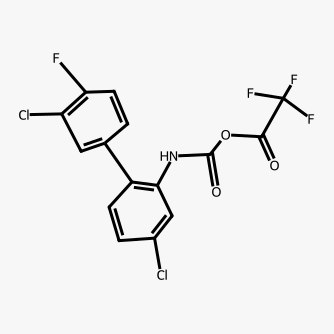 O=C(Nc1cc(Cl)ccc1-c1ccc(F)c(Cl)c1)OC(=O)C(F)(F)F